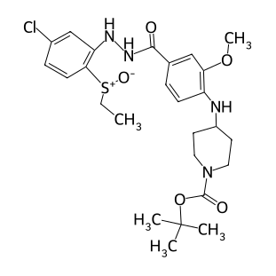 CC[S+]([O-])c1ccc(Cl)cc1NNC(=O)c1ccc(NC2CCN(C(=O)OC(C)(C)C)CC2)c(OC)c1